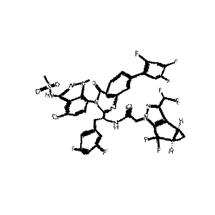 Cn1nc(NS(C)(=O)=O)c2c(Cl)ccc(-n3c([C@H](Cc4cc(F)cc(F)c4)NC(=O)Cn4nc(C(F)F)c5c4C(F)(F)[C@@H]4C[C@H]54)nc4cc(-c5cc(F)c(F)cc5F)ccc4c3=O)c21